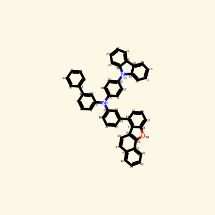 c1ccc(-c2cccc(N(c3ccc(-n4c5ccccc5c5ccccc54)cc3)c3cccc(-c4cccc5oc6c7ccccc7ccc6c45)c3)c2)cc1